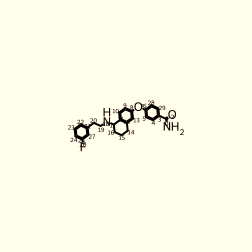 NC(=O)c1ccc(Oc2ccc3c(c2)CCCC3NCCc2cccc(F)c2)cc1